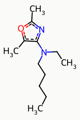 CCCCCN(CC)c1nc(C)oc1C